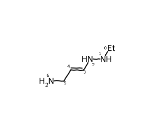 CCNNC=CCN